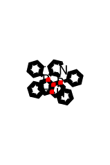 [c]1ccnc([PH](c2ccccc2)(c2ccccc2)c2ccccc2)c1[PH](c1ccccc1)(c1ccccc1)c1ccccc1